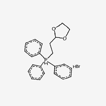 Br.c1ccc([PH](CCC2OCCO2)(c2ccccc2)c2ccccc2)cc1